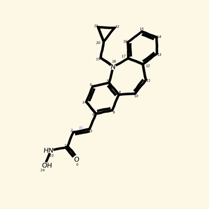 O=C(/C=C/c1ccc2c(c1)C=Cc1ccccc1N2CC1CC1)NO